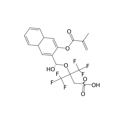 C=C(C)C(=O)OC1=CC2C=CC=CC2C=C1[C@@H](O)OC(CS(=O)(=O)O)(C(F)(F)F)C(F)(F)F